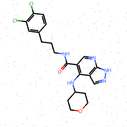 O=C(NCCCc1ccc(Cl)c(Cl)c1)c1cnc2[nH]ncc2c1NC1CCOCC1